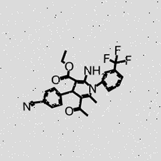 CCOC(=O)C1=C(N)N(c2cccc(C(F)(F)F)c2)C(C)=C(C(C)=O)C1c1ccc(C#N)cc1